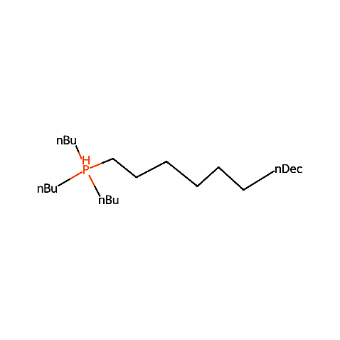 CCCCCCCCCCCCCCCC[PH](CCCC)(CCCC)CCCC